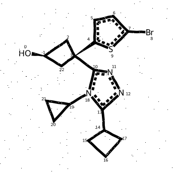 O[C@H]1C[C@](c2ccc(Br)s2)(c2nnc(C3CCC3)n2C2CC2)C1